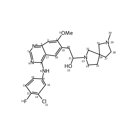 COc1cc2ncnc(Nc3ccc(F)c(Cl)c3)c2cc1CC(O)N1CCC2(CCN(C)C2)C1